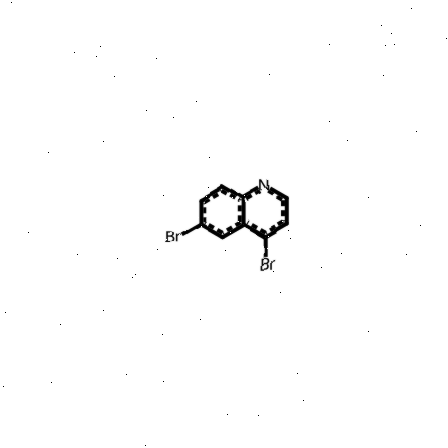 Brc1ccc2nccc(Br)c2c1